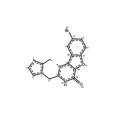 Cc1nccn1Cc1nc2c(oc3ccc(Br)cc32)c(=O)[nH]1